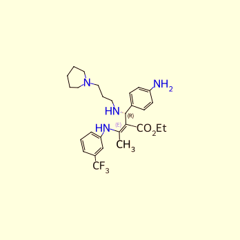 CCOC(=O)/C(=C(\C)Nc1cccc(C(F)(F)F)c1)[C@H](NCCCN1CCCCC1)c1ccc(N)cc1